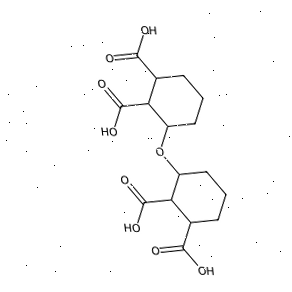 O=C(O)C1CCCC(OC2CCCC(C(=O)O)C2C(=O)O)C1C(=O)O